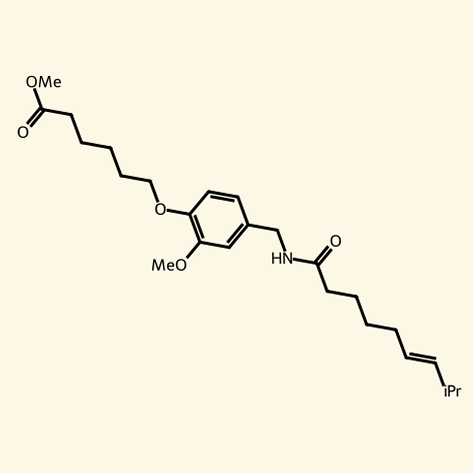 COC(=O)CCCCCOc1ccc(CNC(=O)CCCCC=CC(C)C)cc1OC